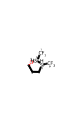 FC(F)(F)[SiH]1CCCO[SiH]1C(F)(F)F